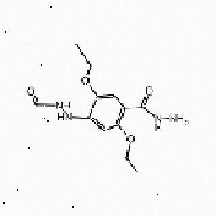 CCOc1cc(C(=O)NN)c(OCC)cc1NNC=O